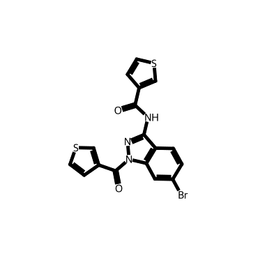 O=C(Nc1nn(C(=O)c2ccsc2)c2cc(Br)ccc12)c1ccsc1